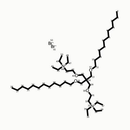 CCCCCCCCCCCCOCC(COCCCCCCCCCCCC)(COCC[N+](CC)(CC)CC)COCC[N+](CC)(CC)CC.[Br-].[Br-]